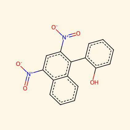 O=[N+]([O-])c1cc([N+](=O)[O-])c2ccccc2c1-c1ccccc1O